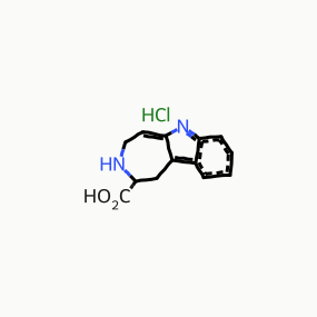 Cl.O=C(O)C1CC2=c3ccccc3=NC2=CCN1